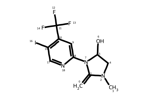 C=C1N(C)CC(O)N1c1cc(C(F)(F)F)c(I)cn1